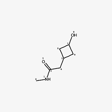 CNC(=O)CC1CC(O)C1